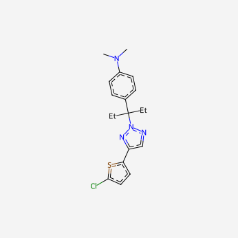 CCC(CC)(c1ccc(N(C)C)cc1)n1ncc(-c2ccc(Cl)s2)n1